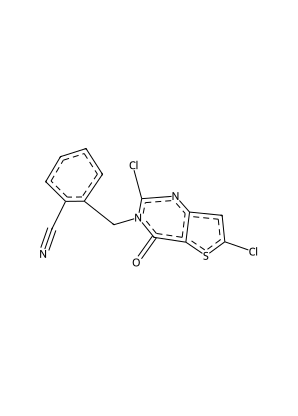 N#Cc1ccccc1Cn1c(Cl)nc2cc(Cl)sc2c1=O